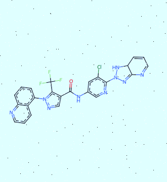 O=C(Nc1cnc(N2N=C3N=CC=CC3N2)c(Cl)c1)c1cnn(-c2cccc3ncccc23)c1C(F)(F)F